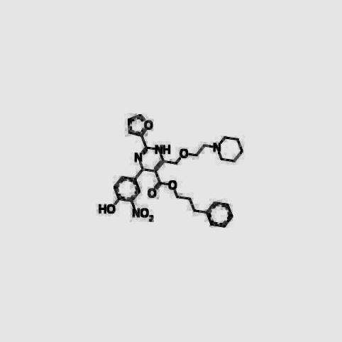 O=C(OCCCc1ccccc1)C1=C(COCCN2CCCCC2)NC(c2ccco2)=NC1c1ccc(O)c([N+](=O)[O-])c1